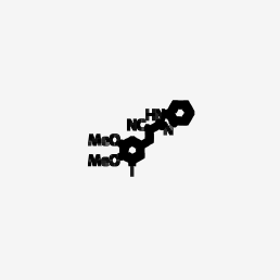 COc1cc(C=C(C#N)c2nc3ccccc3[nH]2)cc(I)c1OC